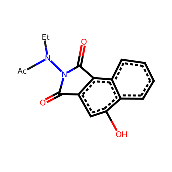 CCN(C(C)=O)N1C(=O)c2cc(O)c3ccccc3c2C1=O